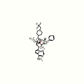 CO[C@@](C)(CCc1ccc2c(N)ncnn12)COP(=O)(N[C@@H](C)C(=O)OCC1CCN(CC(F)(F)F)CC1)Oc1ccccc1